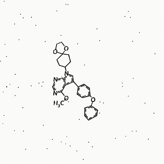 COc1ncnc2c1c(-c1ccc(Oc3ccccc3)cc1)cn2C1CCC2(CC1)OCCO2